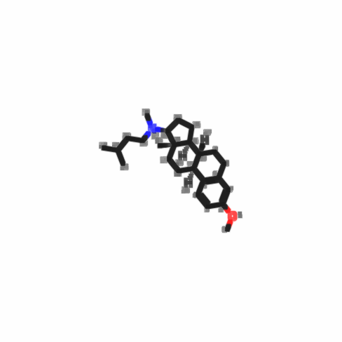 COc1ccc2c(c1)CC[C@@H]1[C@@H]2CC[C@]2(C)[C@@H](N(C)CCC(C)C)CC[C@@H]12